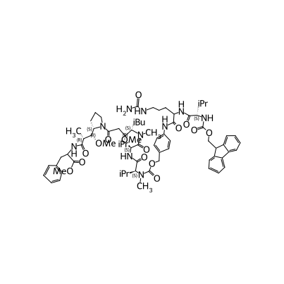 CCC(C)[C@@H]([C@@H](CC(=O)N1CCC[C@H]1[C@H](OC)[C@@H](C)C(=O)NC(Cc1ccccc1)C(=O)OC)OC)N(C)C(=O)[C@@H](NC(=O)[C@H](C(C)C)N(C)C(=O)OCc1ccc(NC(=O)C(CCCNC(N)=O)NC(=O)[C@@H](NC(=O)OCC2c3ccccc3-c3ccccc32)C(C)C)cc1)C(C)C